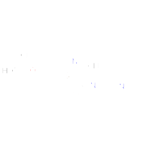 Cc1nc(-c2cccc(OC(C)C)c2)sc1C(=O)N1CCC(N2CCCCCC2)CC1